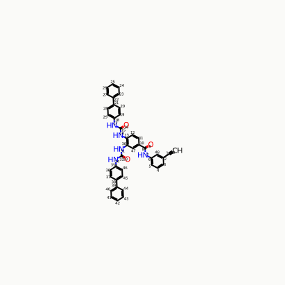 C#Cc1cccc(NC(=O)c2ccc(NC(=O)Nc3ccc(-c4ccccc4)cc3)c(NC(=O)Nc3ccc(-c4ccccc4)cc3)c2)c1